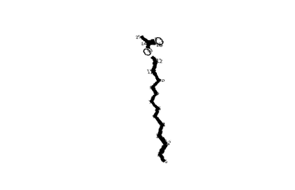 C/C=C/CCCCCCCCCCOC(C)=O